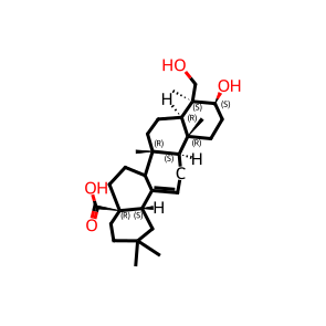 CC1(C)CC[C@]2(C(=O)O)CCC3C(=CC[C@@H]4[C@@]5(C)CC[C@H](O)[C@](C)(CO)[C@@H]5CC[C@@]34C)[C@@H]2C1